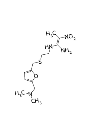 CC(=C(N)NCCSCc1ccc(CN(C)C)o1)[N+](=O)[O-]